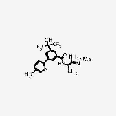 CN/N=C(\N)C(C)NC(=O)c1cc(-c2ccc(C)cn2)cc(C(O)(C(F)(F)F)C(F)(F)F)c1